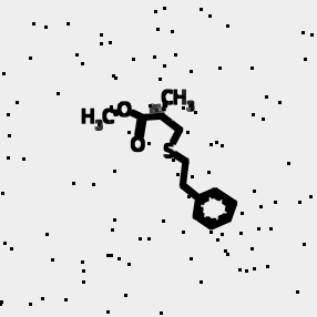 COC(=O)[C@H](C)CSCCc1ccccc1